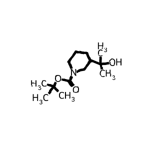 CC(C)(C)OC(=O)N1CCCC(C(C)(C)O)C1